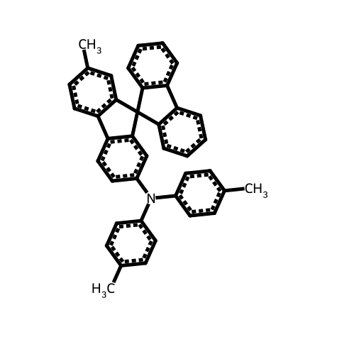 Cc1ccc(N(c2ccc(C)cc2)c2ccc3c(c2)C2(c4ccccc4-c4ccccc42)c2cc(C)ccc2-3)cc1